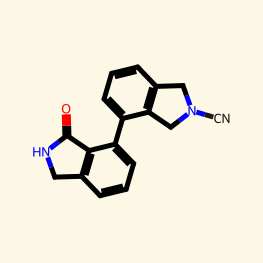 N#CN1Cc2cccc(-c3cccc4c3C(=O)NC4)c2C1